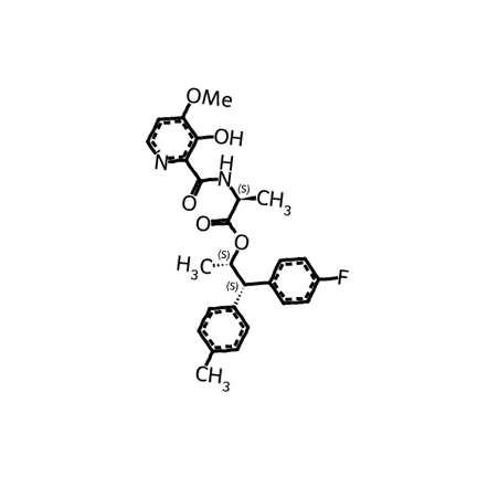 COc1ccnc(C(=O)N[C@@H](C)C(=O)O[C@@H](C)[C@@H](c2ccc(C)cc2)c2ccc(F)cc2)c1O